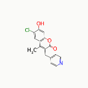 Cc1c(Cc2ccncc2)c(=O)oc2cc(O)c(Cl)cc12